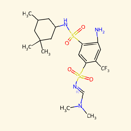 CC1CC(NS(=O)(=O)c2cc(S(=O)(=O)/N=C/N(C)C)c(C(F)(F)F)cc2N)CC(C)(C)C1